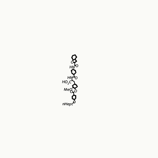 CCCCCCCOc1ccc(C(=O)Oc2ccc(CC(NC(=O)c3ccc(NC(=O)c4cc5ccccc5o4)cc3)C(=O)O)cc2OC)cc1